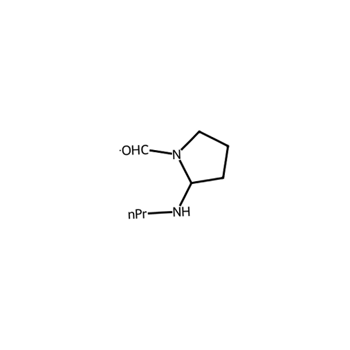 CCCNC1CCCN1[C]=O